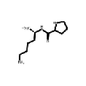 NCCCC[C@H](NC(=O)C1CCCN1)C(=O)O